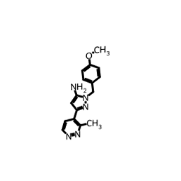 COc1ccc(Cn2nc(-c3ccnnc3C)cc2N)cc1